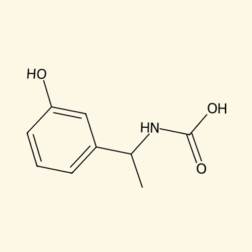 CC(NC(=O)O)c1cccc(O)c1